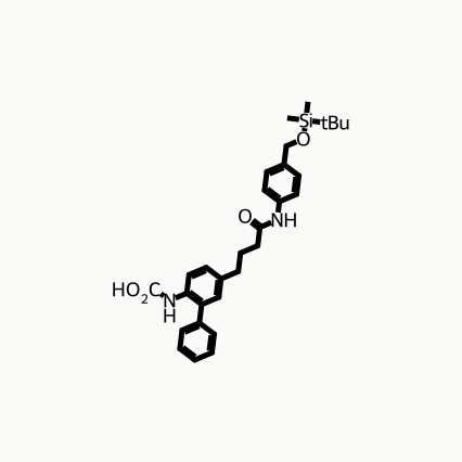 CC(C)(C)[Si](C)(C)OCc1ccc(NC(=O)CCCc2ccc(NC(=O)O)c(-c3ccccc3)c2)cc1